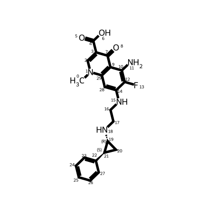 Cn1cc(C(=O)O)c(=O)c2c(N)c(F)c(NCCN[C@@H]3C[C@H]3c3ccccc3)cc21